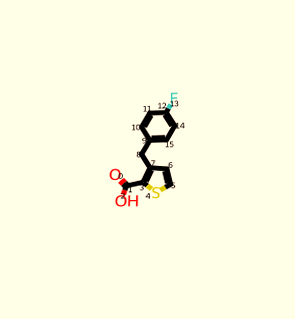 O=C(O)c1sccc1Cc1ccc(F)cc1